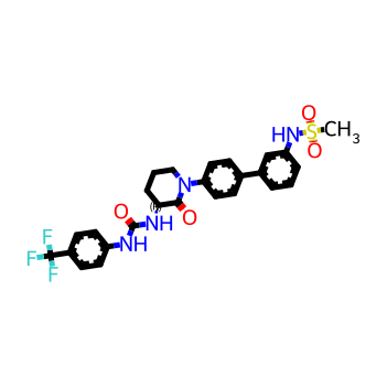 CS(=O)(=O)Nc1cccc(-c2ccc(N3CCC[C@@H](NC(=O)Nc4ccc(C(F)(F)F)cc4)C3=O)cc2)c1